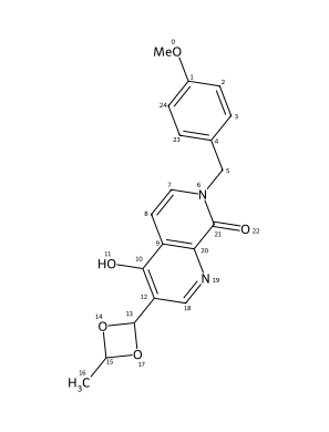 COc1ccc(Cn2ccc3c(O)c(C4OC(C)O4)cnc3c2=O)cc1